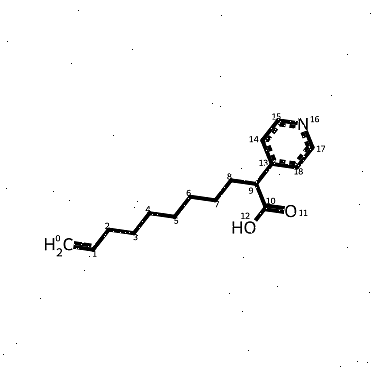 C=CCCCCCCCC(C(=O)O)c1ccncc1